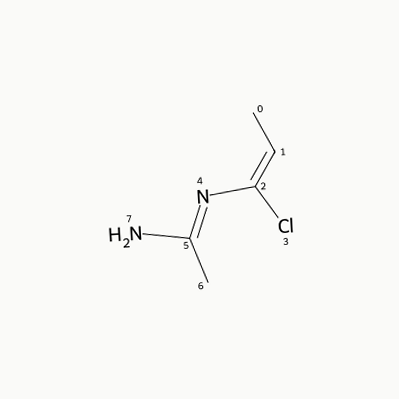 C/C=C(Cl)\N=C(/C)N